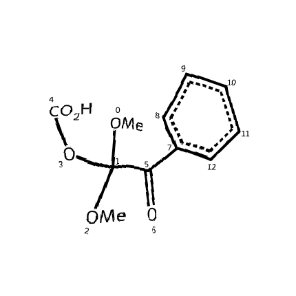 COC(OC)(OC(=O)O)C(=O)c1ccccc1